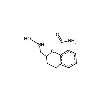 NC=O.ONCC1CCc2ccccc2O1